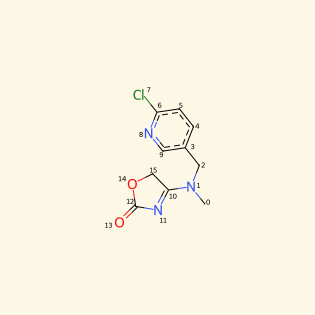 CN(Cc1ccc(Cl)nc1)C1=NC(=O)OC1